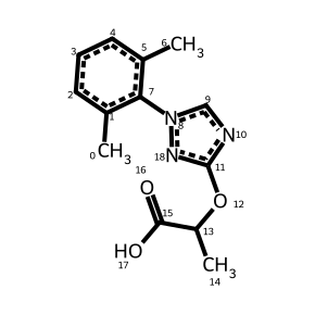 Cc1cccc(C)c1-n1cnc(OC(C)C(=O)O)n1